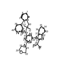 Cc1cc(-c2c#cccc2CC(C)(C)Nc2nc(N3CCOCC3)nc(-n3c(C(F)F)nc4ccccc43)n2)ccn1